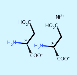 N[C@@H](CC(=O)O)C(=O)[O-].N[C@@H](CC(=O)O)C(=O)[O-].[Ni+2]